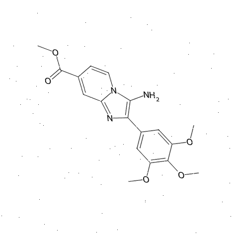 COC(=O)c1ccn2c(N)c(-c3cc(OC)c(OC)c(OC)c3)nc2c1